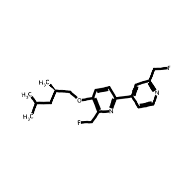 CC(C)C[C@@H](C)COc1ccc(-c2ccnc(CF)c2)nc1CF